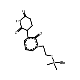 CC(C)(C)[Si](C)(C)OCCn1cccc(C2CCC(=O)NC2=O)c1=O